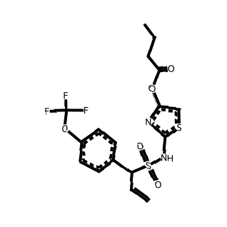 C=CC(c1ccc(OC(F)(F)F)cc1)S(=O)(=O)Nc1nc(OC(=O)CCC)cs1